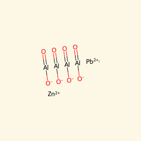 [O]=[Al][O-].[O]=[Al][O-].[O]=[Al][O-].[O]=[Al][O-].[Pb+2].[Zn+2]